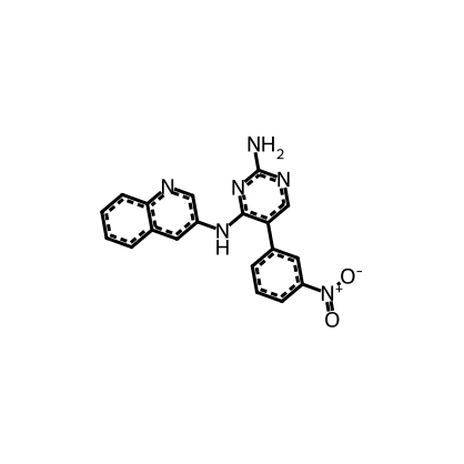 Nc1ncc(-c2cccc([N+](=O)[O-])c2)c(Nc2cnc3ccccc3c2)n1